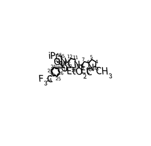 CCOC(=O)N1C(C)CCC1CC(CC)N1CCC(N(CC(C)C)S(=O)(=O)c2ccc(C(F)(F)F)cc2)CC1